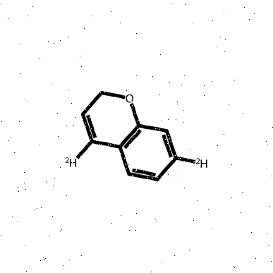 [2H]C1=CCOc2cc([2H])ccc21